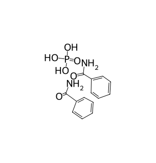 NC(=O)c1ccccc1.NC(=O)c1ccccc1.O=P(O)(O)O